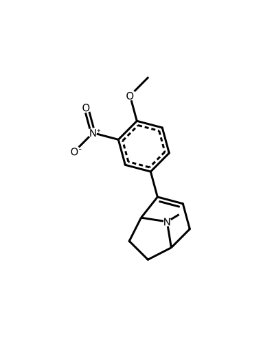 COc1ccc(C2=CCC3CCC2N3C)cc1[N+](=O)[O-]